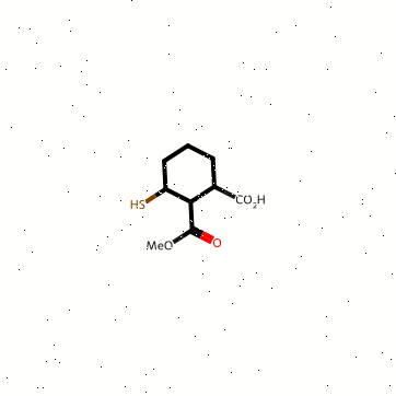 COC(=O)C1C(S)CCCC1C(=O)O